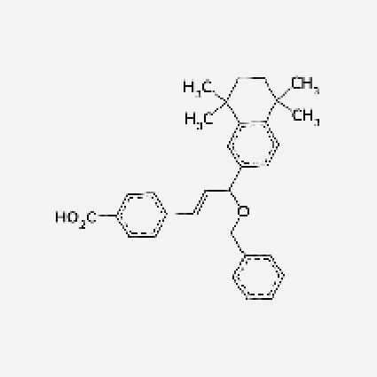 CC1(C)CCC(C)(C)c2cc(C(C=Cc3ccc(C(=O)O)cc3)OCc3ccccc3)ccc21